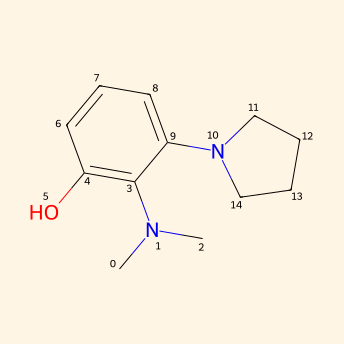 CN(C)c1c(O)cccc1N1CCCC1